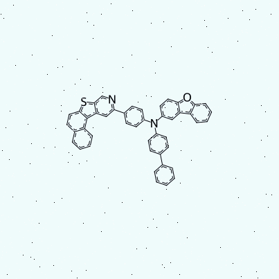 c1ccc(-c2ccc(N(c3ccc(-c4cc5c(cn4)sc4ccc6ccccc6c45)cc3)c3ccc4oc5ccccc5c4c3)cc2)cc1